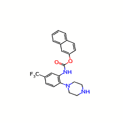 O=C(Nc1cc(C(F)(F)F)ccc1N1CCNCC1)Oc1ccc2ccccc2c1